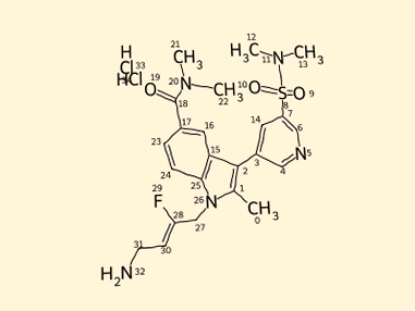 Cc1c(-c2cncc(S(=O)(=O)N(C)C)c2)c2cc(C(=O)N(C)C)ccc2n1C/C(F)=C/CN.Cl.Cl